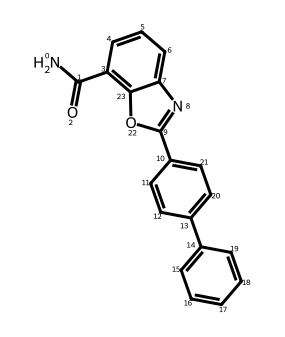 NC(=O)c1cccc2nc(-c3ccc(-c4ccccc4)cc3)oc12